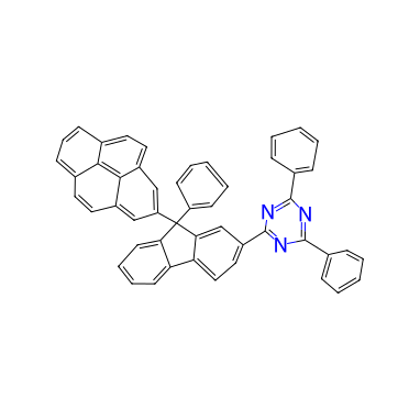 c1ccc(-c2nc(-c3ccccc3)nc(-c3ccc4c(c3)C(c3ccccc3)(c3cc5ccc6cccc7ccc(c3)c5c67)c3ccccc3-4)n2)cc1